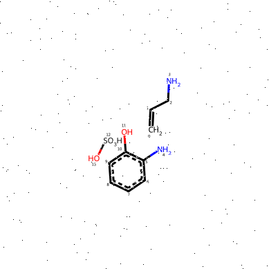 C=CCN.Nc1ccccc1O.O=S(=O)(O)O